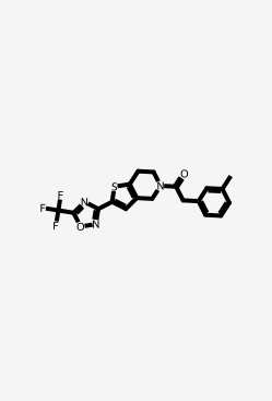 Cc1cccc(CC(=O)N2CCc3sc(-c4noc(C(F)(F)F)n4)cc3C2)c1